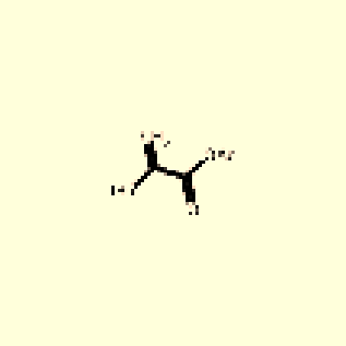 C=C(C(=O)OC(C)=O)C(C)(C)C